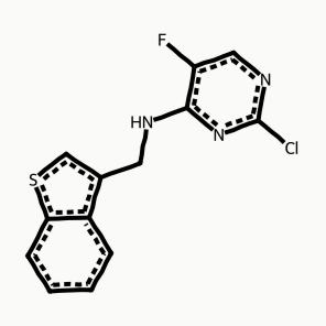 Fc1cnc(Cl)nc1NCc1csc2ccccc12